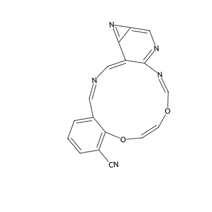 N#Cc1cccc2c1OC=COC=Nc1ncc3c(c1=CN=C2)=N3